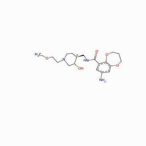 COCCN1CC[C@@H](CNC(=O)c2cc(N)cc3c2OCCCO3)C(O)C1